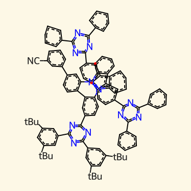 CC(C)(C)c1cc(-c2nc(-c3cc(C(C)(C)C)cc(C(C)(C)C)c3)nc(-c3ccc(-n4c5ccccc5c5cc(-c6nc(-c7ccccc7)nc(-c7ccccc7)n6)ccc54)c(-c4ccc(-c5cccc(C#N)c5)cc4-n4c5ccccc5c5cc(-c6nc(-c7ccccc7)nc(-c7ccccc7)n6)ccc54)c3)n2)cc(C(C)(C)C)c1